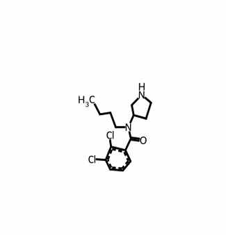 CCCCN(C(=O)c1cccc(Cl)c1Cl)C1CCNC1